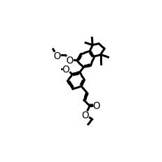 CCOC(=O)C=Cc1ccc(OC)c(-c2cc3c(cc2OCOC)C(C)(C)CCC3(C)C)c1